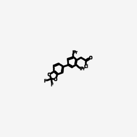 CC(C)c1cc(-c2ccc3c(c2)OC(F)(F)O3)cc(C(C)C)c1CC(=O)Cl